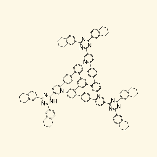 c1ccc(-c2cc(-c3ccccc3-c3ccc(-c4ccc(-c5nc(-c6ccc7c(c6)CCCC7)nc(-c6ccc7c(c6)CCCC7)n5)cn4)cc3)cc(-c3ccccc3-c3ccc(-c4ccc(C5N=C(c6ccc7c(c6)CCCC7)N=C(c6ccc7c(c6)CCCC7)N5)cn4)cc3)c2)c(-c2ccc(-c3ccc(-c4nc(-c5ccc6c(c5)CCCC6)nc(-c5ccc6c(c5)CCCC6)n4)cn3)cc2)c1